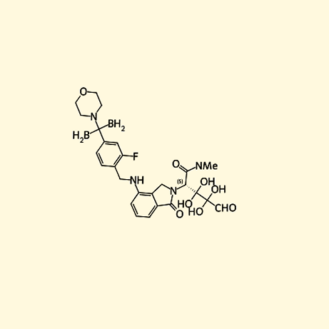 BC(B)(c1ccc(CNc2cccc3c2CN([C@H](C(=O)NC)C(O)(O)C(O)(O)C=O)C3=O)c(F)c1)N1CCOCC1